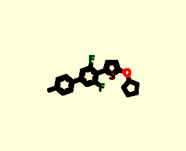 Cc1ccc(-c2cc(F)c(-c3ccc(OC4CCCC4)s3)c(F)c2)cc1